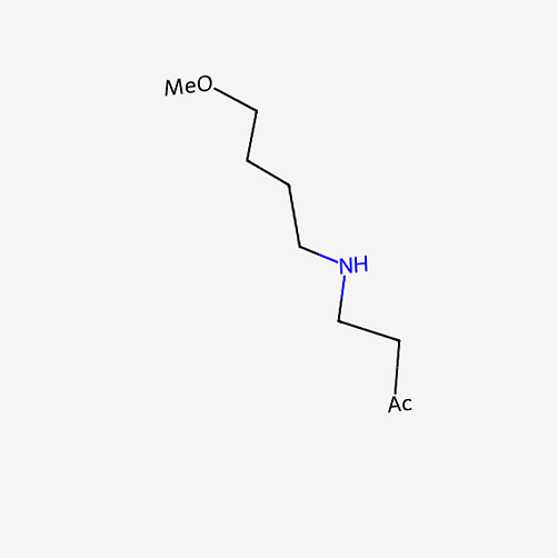 COCCCCNCCC(C)=O